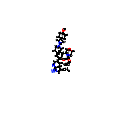 Cc1c[nH]c2ncc(-c3cc4c(c([C@@H]5COCCN5C(=O)OC(C)(C)C)c3)CN(N3CC5(CCC(=O)CC5)C3)CC4)cc12